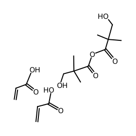 C=CC(=O)O.C=CC(=O)O.CC(C)(CO)C(=O)OC(=O)C(C)(C)CO